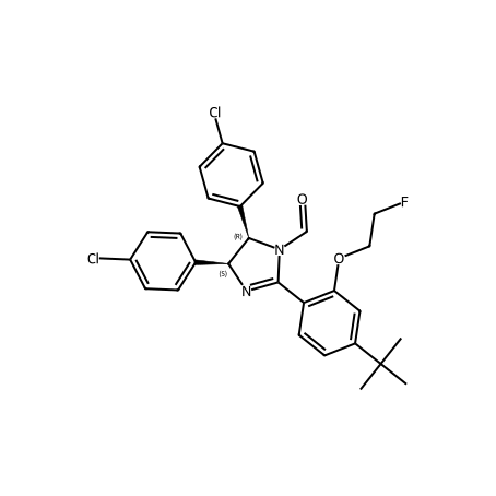 CC(C)(C)c1ccc(C2=N[C@@H](c3ccc(Cl)cc3)[C@@H](c3ccc(Cl)cc3)N2C=O)c(OCCF)c1